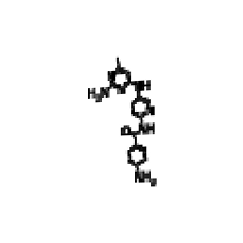 Cc1cc(Nc2ccc(NC(=O)c3ccc(N)cc3)nc2)nc(N)n1